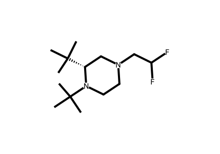 CC(C)(C)[C@@H]1CN(CC(F)F)CCN1C(C)(C)C